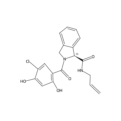 C=CCNC(=O)[C@@H]1c2ccccc2CN1C(=O)c1cc(Cl)c(O)cc1O